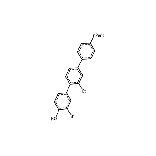 CCCCCc1ccc(-c2ccc(-c3ccc(O)c(Br)c3)c(CC)c2)cc1